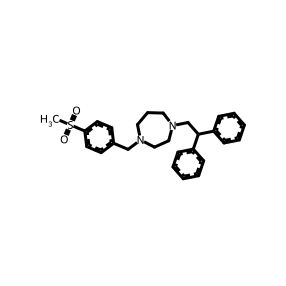 CS(=O)(=O)c1ccc(CN2CCCN(CC(c3ccccc3)c3ccccc3)CC2)cc1